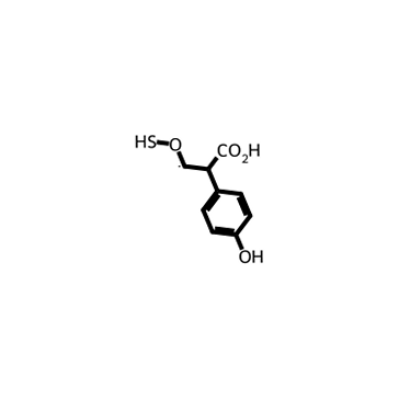 O=C(O)C([CH]OS)c1ccc(O)cc1